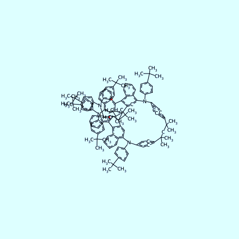 CC(C)(C)c1ccc(N(c2ccc(C(C)(C)C)cc2)c2cc3c(c4ccccc24)-c2c4cc(c5ccccc25)N(c2ccc(C(C)(C)C)cc2)c2ccc(cc2)C(C)(C)CC(C)(C)c2ccc(cc2)N(c2ccc(C(C)(C)C)cc2)c2cc5c(c6ccccc26)-c2c(cc(N(c6ccc(C(C)(C)C)cc6)c6ccc(C(C)(C)C)cc6)c6ccccc26)C5(C(C)(C)C)C34C(C)(C)C)cc1